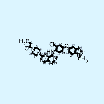 C=CC(=O)N1CCN(c2ncc3ncnc(Nc4ccc(Oc5ccc6c(c5)nnn6C)cc4Cl)c3n2)CC1